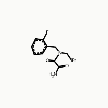 CC(C)CN(Cc1ccccc1F)C(=O)C(N)=O